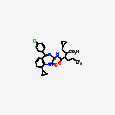 O=C(O)C(CC1CC1)C(CCC(F)(F)F)C(=O)N[C@@H]1N=C(c2ccc(Cl)cc2)c2cccc(C3CC3)c2NC1=O